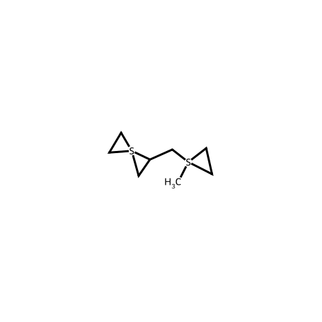 CS1(CC2CS23CC3)CC1